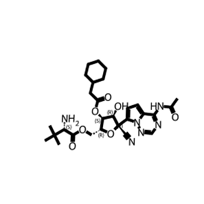 CC(=O)Nc1ncnn2c([C@]3(C#N)O[C@H](COC(=O)[C@@H](N)C(C)(C)C)[C@@H](OC(=O)CC4CCCCC4)[C@H]3O)ccc12